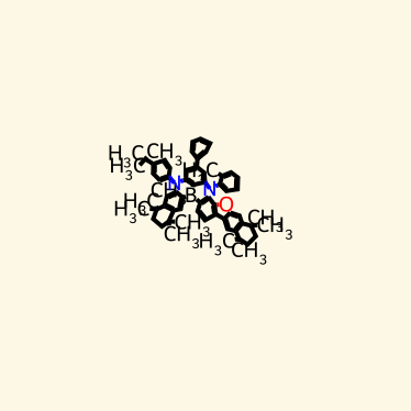 Cc1cc(C(C)(C)C)ccc1N1c2cc3c(cc2B2c4ccc5c(oc6cc7c(cc65)C(C)(C)CCC7(C)C)c4N(c4ccccc4C)c4cc(-c5ccccc5)cc1c42)C(C)(C)CCC3(C)C